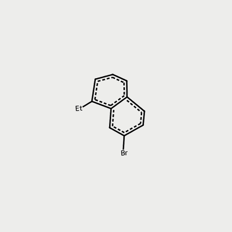 CCc1cccc2ccc(Br)cc12